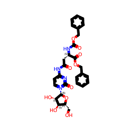 O=C(C[C@H](NC(=O)OCc1ccccc1)C(=O)OCc1ccccc1)Nc1ccn([C@@H]2O[C@H](CO)[C@@H](O)[C@@H]2O)c(=O)n1